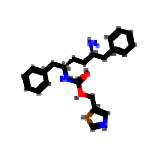 N[C@@H](CC[C@@H](Cc1ccccc1)NC(=O)OCc1cncs1)Cc1ccccc1